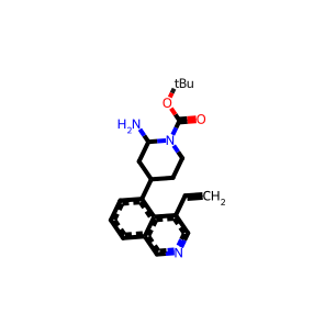 C=Cc1cncc2cccc(C3CCN(C(=O)OC(C)(C)C)C(N)C3)c12